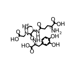 N[C@@H](CCC(=O)N[C@@H](CS)C(=O)NCC(=O)O)C(=O)O.N[C@@H](Cc1ccc(O)c(O)c1)C(=O)O